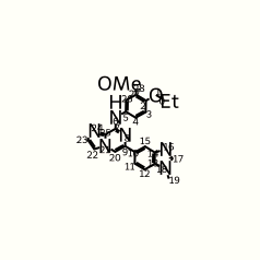 CCOc1ccc(Nc2nc(-c3ccc4c(c3)ncn4C)cn3ccnc23)cc1OC